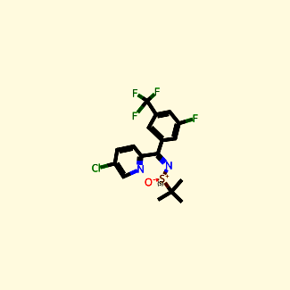 CC(C)(C)[S@@+]([O-])N=C(c1cc(F)cc(C(F)(F)F)c1)c1ccc(Cl)cn1